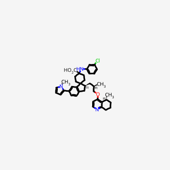 C[C@@H](COc1ccnc2c1[C@H](C)CCC2)C[C@H]1Cc2ccc(-c3cccn3C)cc2C12CCC(Nc1cccc(Cl)c1)(C(=O)O)CC2